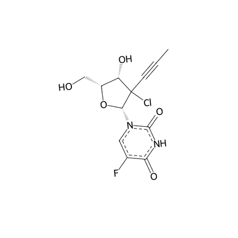 CC#CC1(Cl)[C@@H](O)[C@@H](CO)O[C@H]1n1cc(F)c(=O)[nH]c1=O